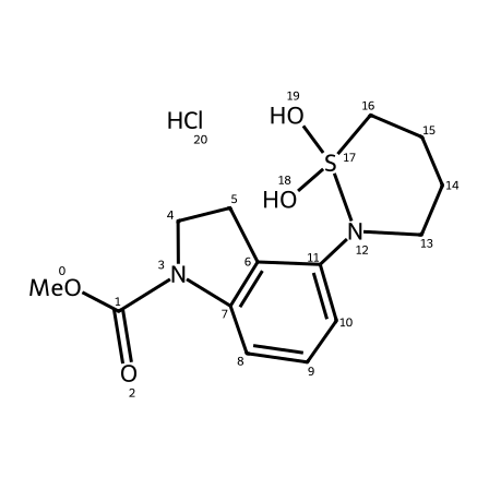 COC(=O)N1CCc2c1cccc2N1CCCCS1(O)O.Cl